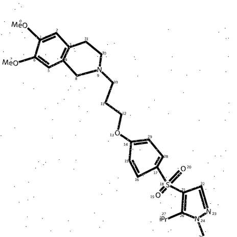 COc1cc2c(cc1OC)CN(CCCOc1ccc(S(=O)(=O)c3cnn(C)c3C(C)C)cc1)CC2